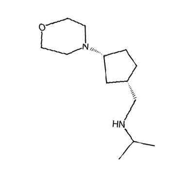 CC(C)NC[C@H]1CC[C@@H](N2CCOCC2)C1